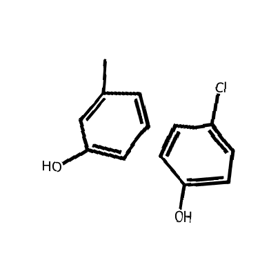 Cc1cccc(O)c1.Oc1ccc(Cl)cc1